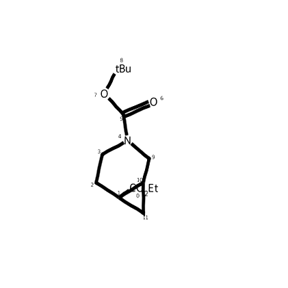 CCOC(=O)C12CCN(C(=O)OC(C)(C)C)CC1C2